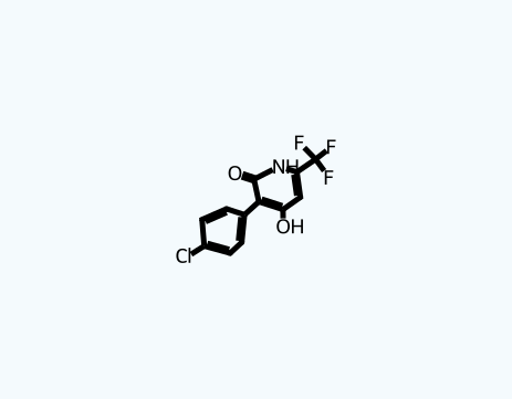 O=c1[nH]c(C(F)(F)F)cc(O)c1-c1ccc(Cl)cc1